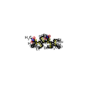 C=CCN1C(=O)c2sc3c(-c4cc5c(-c6ccc(CC(CC)CCCC)s6)c6sc(C(C)(C)c7sc(-c8cc9c(-c%10ccc(CC(CC)CCCC)s%10)c%10sc(C(C)(C)c%11ccccc%11)cc%10c(-c%10ccc(CC(CC)CCCC)s%10)c9s8)c8sc9c(c78)C(=O)N(CCCCCCCC)C9=O)cc6c(-c6ccc(CC(CC)CCCC)s6)c5s4)sc(C(C)(CC)c4ccccc4)c3c2C1=O